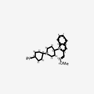 CON=Cc1cc2ccccc2n1C1CCN(C2CCC(C(C)C)CC2)CC1